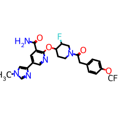 Cn1cnc(-c2cnc(OC3CCN(C(=O)Cc4ccc(OC(F)(F)F)cc4)CC3F)c(C(N)=O)c2)c1